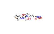 O=C(CCCC1CCN(C(=O)[C@H](CO)NC(=O)c2ccc3sccc3c2)CC1)NO